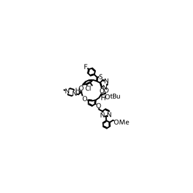 COCc1ccccc1-c1nccc(COc2ccc3cc2C[C@H](C(=O)OC(C)(C)C)Oc2ncnc4sc(-c5ccc(F)cc5)c(c24)-c2ccc(c(Cl)c2C)O[C@H](CN2CCN(C)CC2)CO3)n1